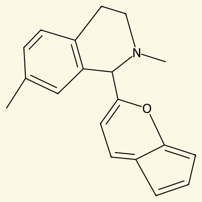 Cc1ccc2c(c1)C(c1ccc3cccc-3o1)N(C)CC2